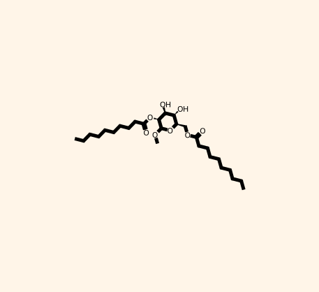 CCCCCCCCCC(=O)OC[C@H]1OC(OC)[C@H](OC(=O)CCCCCCCCC)[C@@H](O)[C@@H]1O